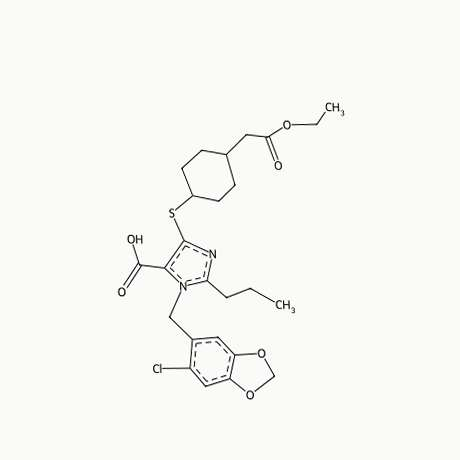 CCCc1nc(SC2CCC(CC(=O)OCC)CC2)c(C(=O)O)n1Cc1cc2c(cc1Cl)OCO2